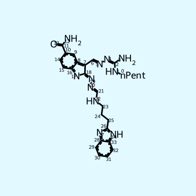 CCCCCNC(N)=NN=CC1=c2cc(C(N)=O)ccc2=NC1=NN=CNCCCc1nc2ccccc2[nH]1